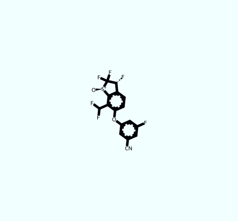 N#Cc1cc(F)cc(Oc2ccc3c(c2C(F)F)[S@@+]([O-])C(F)(F)[C@@H]3F)c1